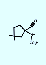 C#CC1(NC(=O)O)CCC(F)(F)C1